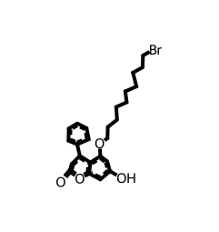 O=c1cc(-c2ccccc2)c2c(OCCCCCCCCCCBr)cc(O)cc2o1